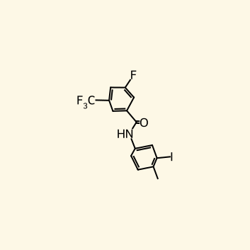 Cc1ccc(NC(=O)c2cc(F)cc(C(F)(F)F)c2)cc1I